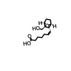 O=C(O)CCCC/C=C\[C@@H]1[C@@H](CO)[C@H]2CC[C@@H]1O2